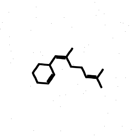 CC(C)=CCCC(C)=CC1C=CCCC1